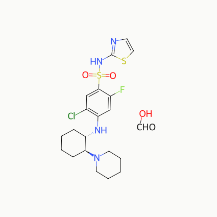 O=CO.O=S(=O)(Nc1nccs1)c1cc(Cl)c(N[C@H]2CCCC[C@@H]2N2CCCCC2)cc1F